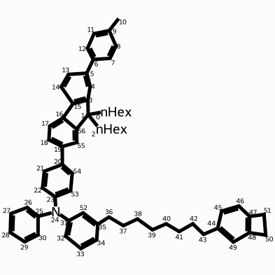 CCCCCCC1(CCCCCC)c2cc(-c3ccc(C)cc3)ccc2-c2ccc(-c3ccc(N(c4ccccc4)c4cccc(CCCCCCCCc5ccc6c(c5)CC6)c4)cc3)cc21